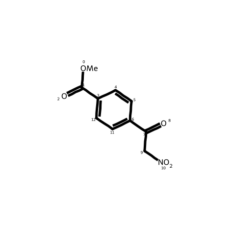 COC(=O)c1ccc(C(=O)C[N+](=O)[O-])cc1